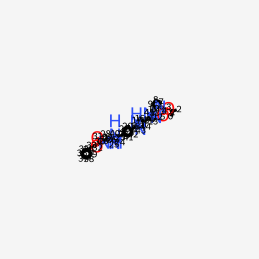 C=C(C)OC(=O)N1CCC[C@H]1c1ncc(-c2cnc(-c3ccc(-c4cnc([C@H](C)NC(=O)OCc5ccccc5)[nH]4)cc3)nc2)[nH]1